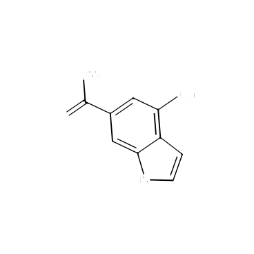 COC(=O)c1cc(C(C)(C)C)c2cc[nH]c2c1